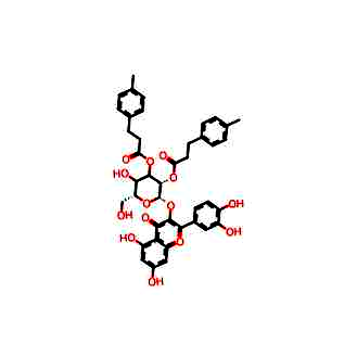 Cc1ccc(CCC(=O)OC2C(O)[C@@H](CO)O[C@@H](Oc3c(-c4ccc(O)c(O)c4)oc4cc(O)cc(O)c4c3=O)[C@H]2OC(=O)CCc2ccc(C)cc2)cc1